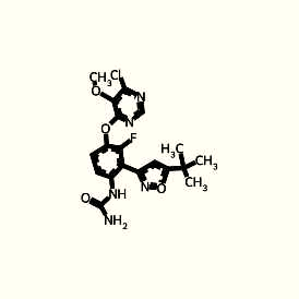 COc1c(Cl)ncnc1Oc1ccc(NC(N)=O)c(-c2cc(C(C)(C)C)on2)c1F